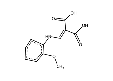 COc1ccccc1NC=C(C(=O)O)C(=O)O